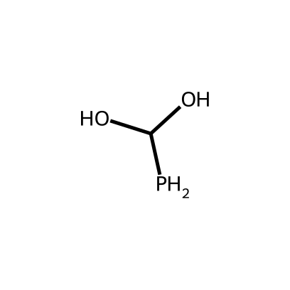 OC(O)P